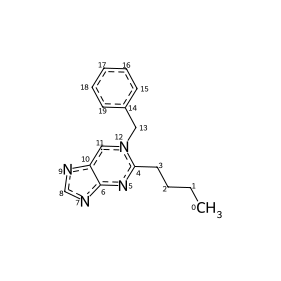 CCCCc1nc2ncnc-2[c]n1Cc1ccccc1